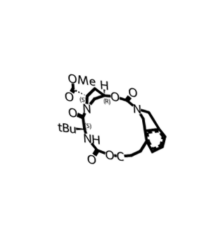 COC(=O)[C@@H]1C[C@@H]2CN1C(=O)[C@H](C(C)(C)C)NC(=O)OCCCc1cccc3c1CN(C3)C(=O)O2